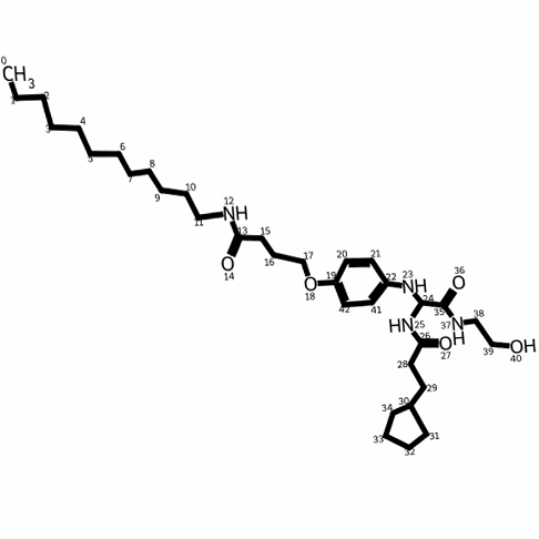 CCCCCCCCCCCCNC(=O)CCCOc1ccc(NC(NC(=O)CCC2CCCC2)C(=O)NCCO)cc1